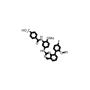 COc1ccc(Nc2ncc3cccc(-c4ccc(F)cc4OC(C)C)c3n2)cc1NC(=O)c1ccc(C(=O)O)cc1